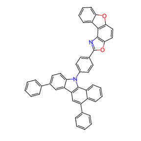 c1ccc(-c2ccc3c(c2)c2cc(-c4ccccc4)c4ccccc4c2n3-c2ccc(-c3nc4c(ccc5oc6ccccc6c54)o3)cc2)cc1